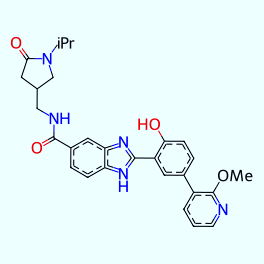 COc1ncccc1-c1ccc(O)c(-c2nc3cc(C(=O)NCC4CC(=O)N(C(C)C)C4)ccc3[nH]2)c1